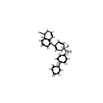 CC1CC=Cc2c(C3=CC[C@@](C)(Nc4ccc(-c5ccccc5)cc4)C=C3)cccc21